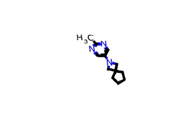 Cc1ncc(N2CC3(CCCC3)C2)cn1